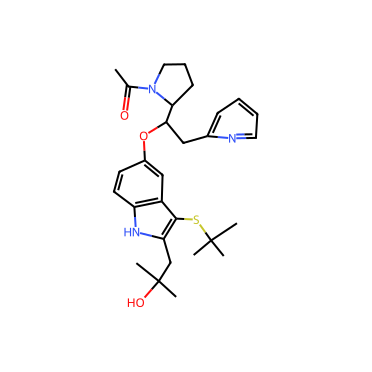 CC(=O)N1CCCC1C(Cc1ccccn1)Oc1ccc2[nH]c(CC(C)(C)O)c(SC(C)(C)C)c2c1